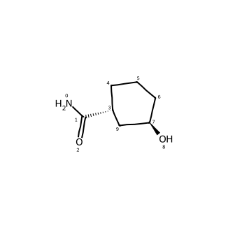 NC(=O)[C@@H]1CCC[C@@H](O)C1